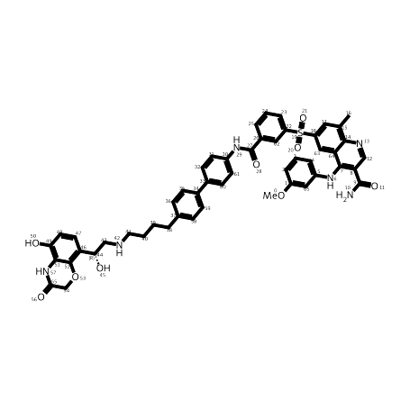 COc1cccc(Nc2c(C(N)=O)cnc3c(C)cc(S(=O)(=O)c4cccc(C(=O)Nc5ccc(-c6ccc(CCCCNC[C@H](O)c7ccc(O)c8c7OCC(=O)N8)cc6)cc5)c4)cc23)c1